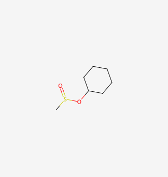 CS(=O)OC1CCCCC1